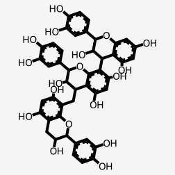 Oc1cc(O)c2c(c1)OC(c1ccc(O)c(O)c1)C(O)C2c1c(O)cc(O)c2c1OC(c1ccc(O)c(O)c1)C(O)C2Cc1c(O)cc(O)c2c1OC(c1ccc(O)c(O)c1)C(O)C2